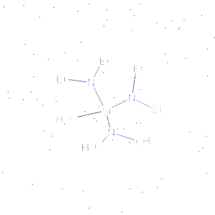 CCN(CC)[Si](C)(N(C)C)N(CC)CC